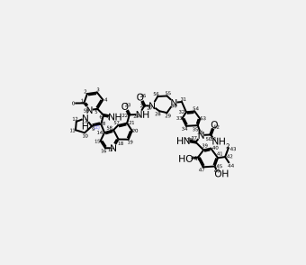 Cc1cccc(C(=N)/C(=C2/CCCN2)c2ccnc3ccc(C(=O)NC(=O)N4CCN(Cc5ccc(N(C(=N)c6cc(C(C)C)c(O)cc6O)C(N)=O)cc5)CC4)cc23)n1